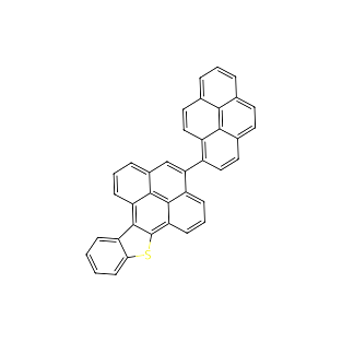 c1cc2ccc3ccc(-c4cc5cccc6c7c8ccccc8sc7c7cccc4c7c56)c4ccc(c1)c2c34